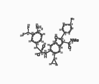 CNC(=O)c1c(-c2ccc(F)cc2)oc2cc(NS(=O)(=O)Cc3ccc(N)c(C(F)F)c3)c(C3CC3)cc12